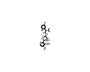 COc1ccnc(C(=O)N[C@@H](C)C(=O)O[C@@H](C)[C@H](c2cc(F)ccc2C)C(C)C)c1O